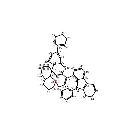 C1=Cc2c(n(-c3ccccc3)c3c(C4=CCCC5C4SC4C=C(C6=CCCC=N6)C=CC4C54C5CCCC=C5SC5CCCCC54)cccc23)CC1